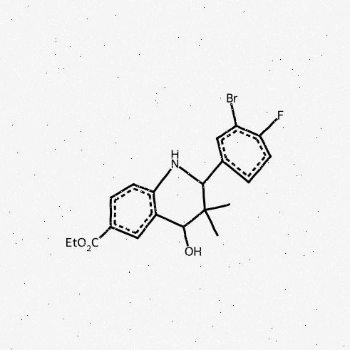 CCOC(=O)c1ccc2c(c1)C(O)C(C)(C)C(c1ccc(F)c(Br)c1)N2